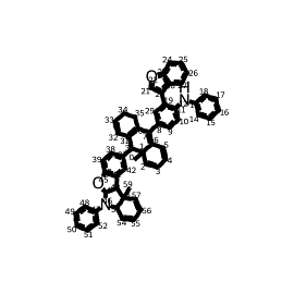 CC12C=CC=CC1=C(c1ccc(Nc3ccccc3)c(-c3coc4ccccc34)c1)C1=C(C=CCC1)C2c1ccc2c(c1)C1C(O2)N(c2ccccc2)C2C=CC=CC12C